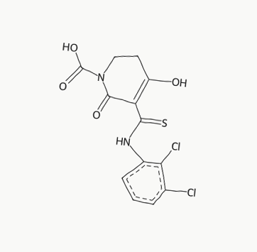 O=C(O)N1CCC(O)=C(C(=S)Nc2cccc(Cl)c2Cl)C1=O